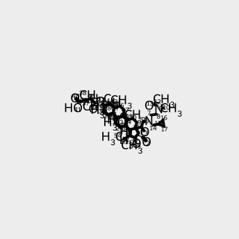 CC(=O)OC(CN(CCN(C)C(C)=O)CC1CC1)C12CC[C@]3(C)[C@H](CC[C@@H]4[C@@]5(C)CC[C@H](OC(=O)CC(C)(C)C(=O)O)C(C)(C)[C@H]5CC[C@]43C)C1=C(C(C)C)C(=O)C2